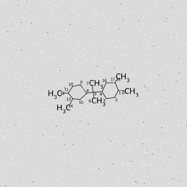 CC1CCC(C(C)(C)C2CCC(C)C(C)C2)CC1C